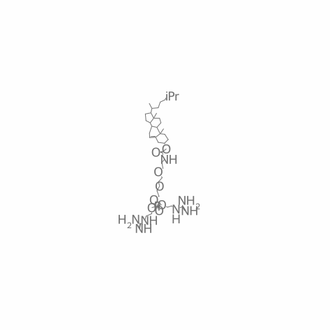 CC(C)CCCC(C)C1CCC2C3CC=C4CC(OC(=O)NCCOCCOCCOP(=O)(OCCNC(=N)N)OCCNC(=N)N)CCC4(C)C3CCC12C